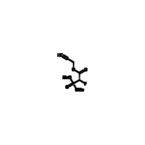 C#CCOC(=O)C(F)P(=O)(OC)OC